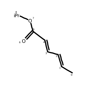 CC=CC=CC(=O)OC(C)C